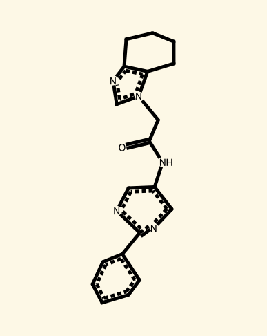 O=C(Cn1cnc2c1CCCC2)Nc1cnc(-c2ccccc2)nc1